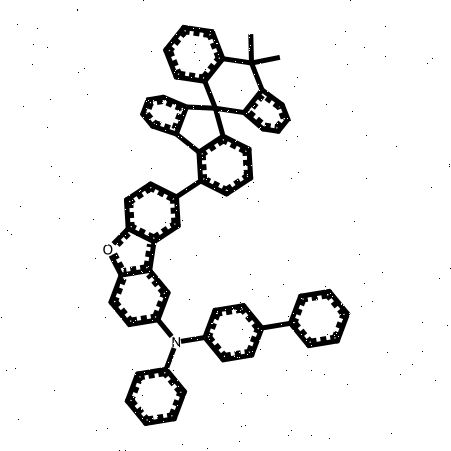 CC1(C)c2ccccc2C2(c3ccccc3-c3c(-c4ccc5oc6ccc(N(c7ccccc7)c7ccc(-c8ccccc8)cc7)cc6c5c4)cccc32)c2ccccc21